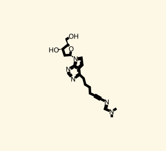 CN(C)C=NC#CCCCCc1ncnc2c1ccn2[C@@H]1C[C@H](O)[C@@H](CO)O1